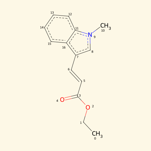 CCOC(=O)/C=C/c1cn(C)c2ccccc12